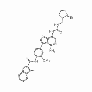 CCN1CCC[C@@H]1CNC(=O)Nc1cnc(N)c2c(-c3ccc(NC(=O)c4cc5ccccc5n4C)c(OC)c3)csc12